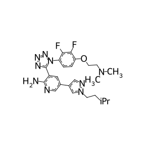 CC(C)CCn1cc(-c2cnc(N)c(-c3nnnn3-c3ccc(OCCN(C)C)c(F)c3F)c2)cn1